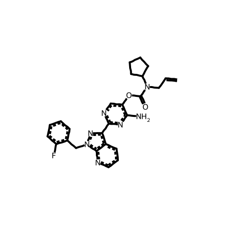 C=CCN(C(=O)Oc1cnc(-c2nn(Cc3ccccc3F)c3ncccc23)nc1N)C1CCCC1